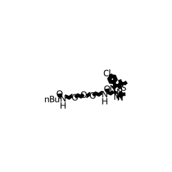 CCCCC(=O)NCCCOCCOCCOCCCNC(=O)CC1N=C(c2ccc(Cl)cc2)c2c(sc(C)c2C)-n2c(C)nnc21